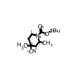 CC1CC(C)(C#N)CCN1C(=O)OC(C)(C)C